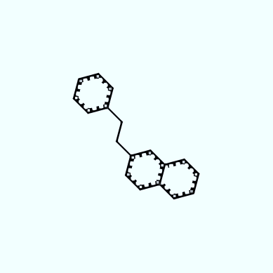 [CH](Cc1ccc2ccccc2c1)c1ccccc1